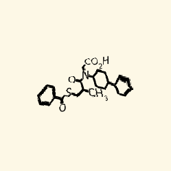 CC(CSC(=O)c1ccccc1)C(=O)N(CC(=O)O)C1CCC(c2ccccc2)CC1